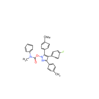 COc1ccc(-c2c(-c3ccc(F)cc3)c(-c3ccc(C)cc3)nn2OC(=O)N(C)c2ccccc2)cc1